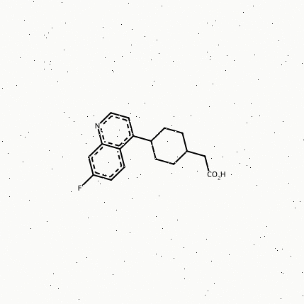 O=C(O)CC1CCC(c2ccnc3cc(F)ccc23)CC1